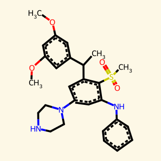 COc1cc(OC)cc(C(C)c2cc(N3CCNCC3)cc(Nc3ccccc3)c2S(C)(=O)=O)c1